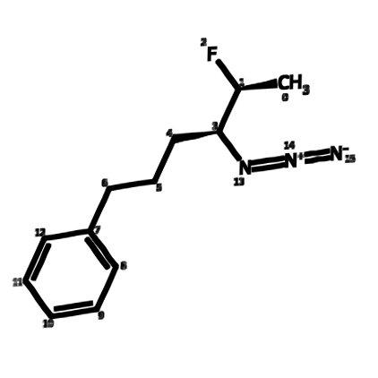 C[C@H](F)[C@H](CCCc1ccccc1)N=[N+]=[N-]